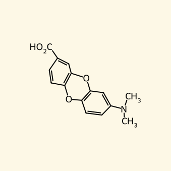 CN(C)c1ccc2c(c1)Oc1cc(C(=O)O)ccc1O2